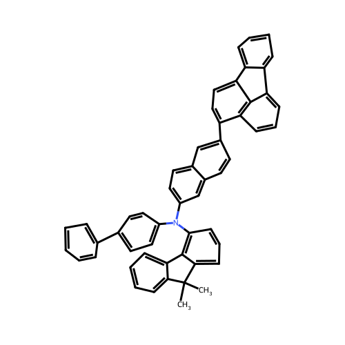 CC1(C)c2ccccc2-c2c(N(c3ccc(-c4ccccc4)cc3)c3ccc4cc(-c5ccc6c7c(cccc57)-c5ccccc5-6)ccc4c3)cccc21